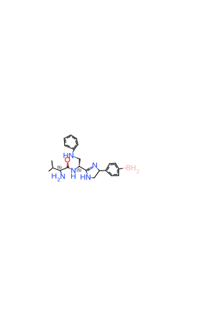 Bc1ccc(C2CNC([C@H](CNc3ccccc3)NC(=O)[C@@H](N)C(C)C)=N2)cc1